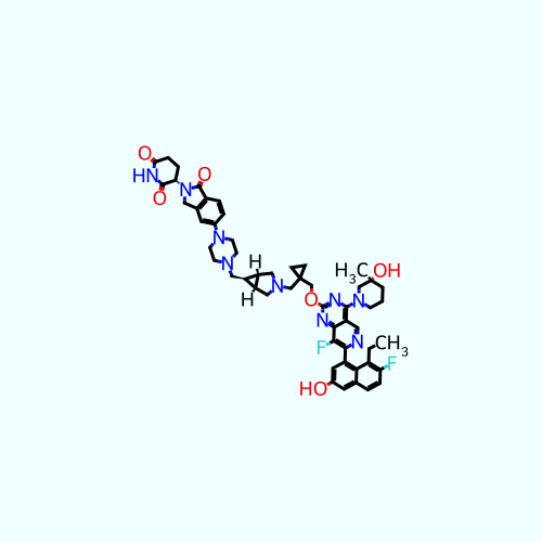 CCc1c(F)ccc2cc(O)cc(-c3ncc4c(N5CCC[C@@](C)(O)C5)nc(OCC5(CN6C[C@@H]7[C@@H](CN8CCN(c9ccc%10c(c9)CN([C@H]9CCC(=O)NC9=O)C%10=O)CC8)[C@@H]7C6)CC5)nc4c3F)c12